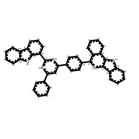 c1ccc(-c2cc(-c3ccc(-c4nc5c6ccccc6sc5c5ccccc45)cc3)nc(-c3cccc4c3oc3ccccc34)n2)cc1